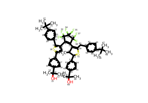 CC1C(C2=C(c3cc(-c4ccc(C(C)(C)O)cc4)sc3-c3ccc(C(C)(C)C)cc3)C(F)(F)C(F)(F)C2(F)F)=C(Cc2ccc(C(C)(C)C)cc2)SC1c1ccc(C(C)(C)O)cc1